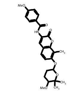 COc1ccc(C(=O)Nc2cc3ccc(OC4CCC(OC)C(C)(C)O4)c(C)c3oc2=O)cc1